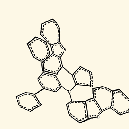 c1ccc(-c2cc(-c3ccccc3)cc(N(c3ccccc3-c3cccc4c3sc3ccccc34)c3cccc4oc5c6ccccc6ccc5c34)c2)cc1